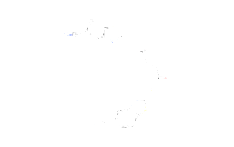 N#Cc1ccc2sc(SOC(=O)CCC(=O)OSc3nc4cc(C#N)ccc4s3)nc2c1